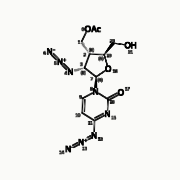 CC(=O)OC[C@H]1[C@@H](N=[N+]=[N-])[C@H](n2ccc(N=[N+]=[N-])nc2=O)O[C@@H]1CO